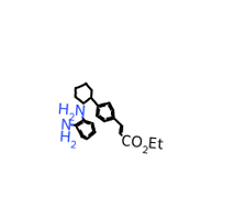 CCOC(=O)C=Cc1ccc(C2CCCCC2)cc1.Nc1ccccc1N